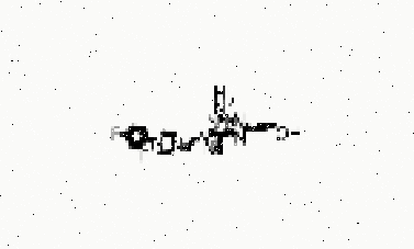 Nc1nc2c(cnn2CCN2CCN(c3ccc(F)cc3F)CC2)c2nc(C#CCO)nn12